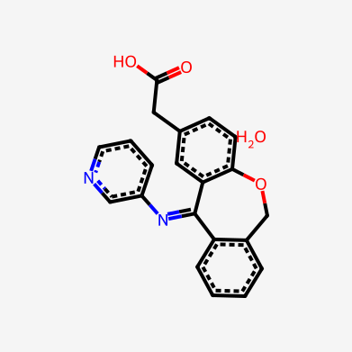 O.O=C(O)Cc1ccc2c(c1)C(=Nc1cccnc1)c1ccccc1CO2